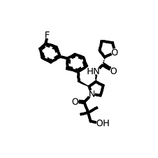 CC(C)(CO)C(=O)N1CC[C@H](NC(=O)[C@@H]2CCCO2)[C@@H]1Cc1cccc(-c2cccc(F)c2)c1